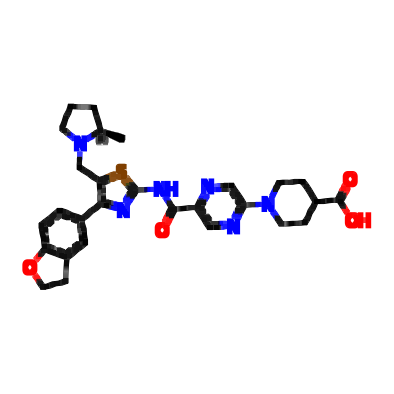 C[C@@H]1CCCN1Cc1sc(NC(=O)c2cnc(N3CCC(C(=O)O)CC3)cn2)nc1-c1ccc2c(c1)CCO2